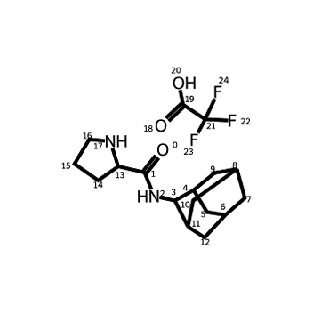 O=C(NC1C2CC3CC(C2)CC1C3)C1CCCN1.O=C(O)C(F)(F)F